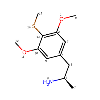 COc1cc(C[C@@H](C)N)cc(OC)c1SC